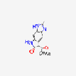 COC(=O)C1C(=O)Nc2cc3[nH]c(C)nc3cc21